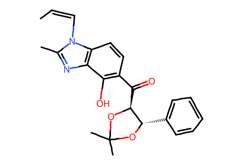 C/C=C\n1c(C)nc2c(O)c(C(=O)[C@@H]3OC(C)(C)O[C@H]3c3ccccc3)ccc21